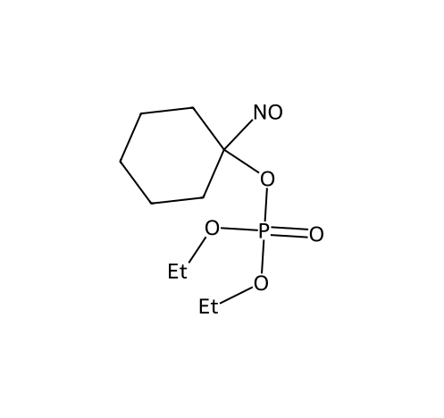 CCOP(=O)(OCC)OC1(N=O)CCCCC1